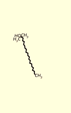 CCCCCCCCCCCCCCCCCCCCCC(C)(C)O